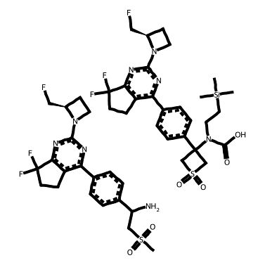 CS(=O)(=O)CC(N)c1ccc(-c2nc(N3CC[C@@H]3CF)nc3c2CCC3(F)F)cc1.C[Si](C)(C)CCN(C(=O)O)C1(c2ccc(-c3nc(N4CC[C@@H]4CF)nc4c3CCC4(F)F)cc2)CS(=O)(=O)C1